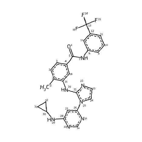 Cc1ccc(C(=O)Nc2cccc(C(F)(F)F)c2)cc1Nc1nccn1-c1cc(NC2CC2)ncn1